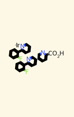 Fc1ccccc1-c1ccccn1.Fc1ccccc1-c1ccccn1.O=C(O)c1ccccn1.[Ir]